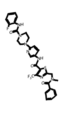 CN(Cc1nc(C(F)(F)F)c(C(=O)Nc2ccc(N3CCN(C(=O)Nc4ccccc4F)CC3)nc2)s1)C(=O)c1ccccc1